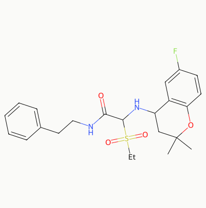 CCS(=O)(=O)C(NC1CC(C)(C)Oc2ccc(F)cc21)C(=O)NCCc1ccccc1